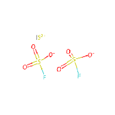 O=S(=O)([O-])F.O=S(=O)([O-])F.[S+2]